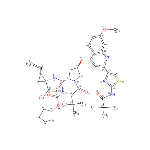 C=C[C@@H]1C[C@]1(NC(=O)[C@@H]1C[C@@H](Oc2cc(-c3csc(NC(=O)C(C)(C)C)n3)nc3cc(OC)ccc23)CN1C(=O)[C@@H](NC(=O)OC1CCCC1)C(C)(C)C)C(=O)O